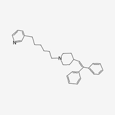 C(=C(c1ccccc1)c1ccccc1)C1CCN(CCCCCCc2cccnc2)CC1